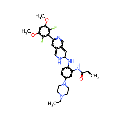 C=CC(=O)Nc1cc(N2CCN(CC)CC2)ccc1NC1C=c2cnc(-c3c(F)c(OC)cc(OC)c3F)cc2=CN1